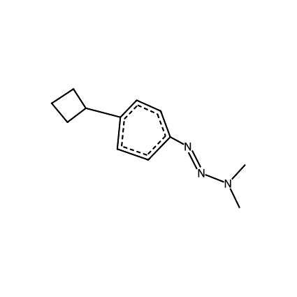 CN(C)N=Nc1ccc(C2CCC2)cc1